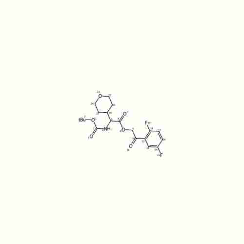 CC(C)(C)OC(=O)NC(C(=O)OCC(=O)c1cc(F)ccc1F)C1CCOCC1